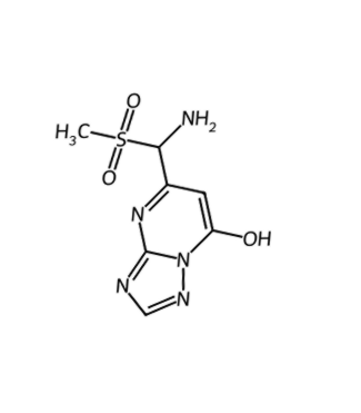 CS(=O)(=O)C(N)c1cc(O)n2ncnc2n1